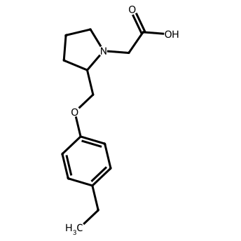 CCc1ccc(OCC2CCCN2CC(=O)O)cc1